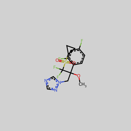 COC(Cn1cncn1)(c1ccc(F)cc1F)C(F)(F)S(=O)(=O)C1CC1